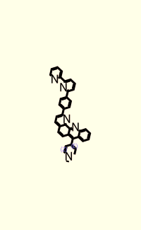 C=N/C=C\C(=C/C)c1c2ccccc2nc2c1ccc1ccc(-c3ccc(-c4cccc(-c5ccccn5)n4)cc3)nc12